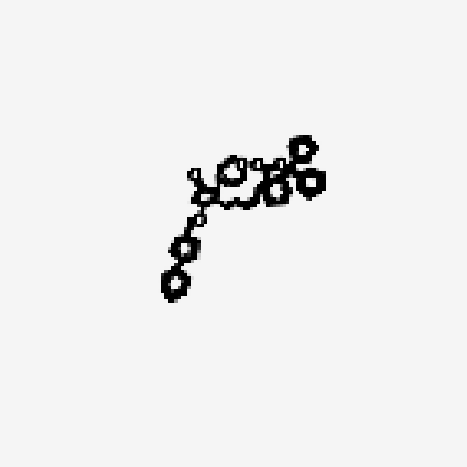 O=C(CC/C=C\CC[C@H]1[C@@H](OCc2ccc(-c3ccccc3)cc2)CC(=O)[C@@H]1N1CCOCC1)OC(c1ccccc1)(c1ccccc1)c1ccccc1